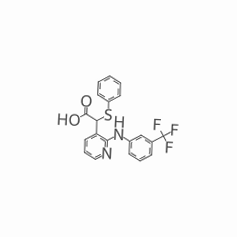 O=C(O)C(Sc1ccccc1)c1cccnc1Nc1cccc(C(F)(F)F)c1